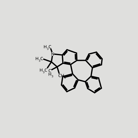 CN1c2ccc3c(c2C(C)(C)C1(C)C)-c1ccccc1-c1ccccc1-c1ccccc1-3